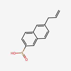 C=CCc1ccc2cc(S(=O)O)ccc2c1